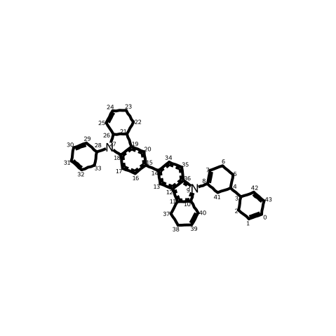 C1=CCC(C2CCC=C(n3c4c(c5cc(-c6ccc7c(c6)C6CCC=CC6N7C6C=CC=CC6)ccc53)CCC=C4)C2)C=C1